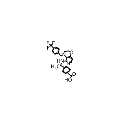 C[C@H](Nc1nccc2c1N(Cc1ccc(C(F)(F)F)cc1)CCO2)c1ccc(C(=O)O)cc1